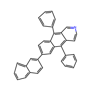 c1ccc(-c2c3ccc(-c4ccc5ccccc5c4)cc3c(-c3ccccc3)c3ccncc23)cc1